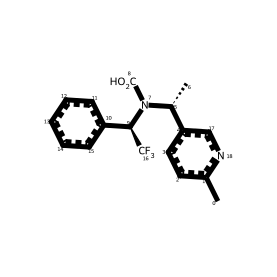 Cc1ccc([C@@H](C)N(C(=O)O)[C@H](c2ccccc2)C(F)(F)F)cn1